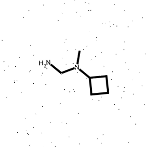 CN(CN)C1CCC1